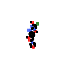 COc1cc(Nc2ncc(Cl)c(OC)n2)c(OC)cc1CC(=O)N1CCOCC1